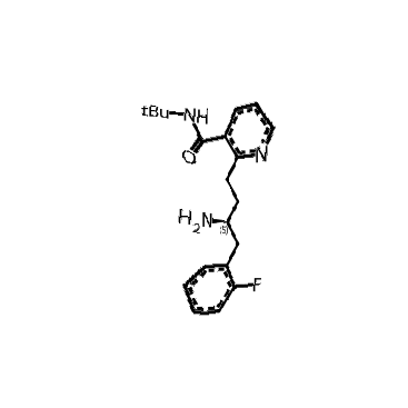 CC(C)(C)NC(=O)c1cccnc1CC[C@H](N)Cc1ccccc1F